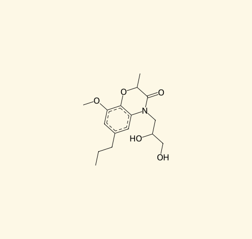 CCCc1cc(OC)c2c(c1)N(CC(O)CO)C(=O)C(C)O2